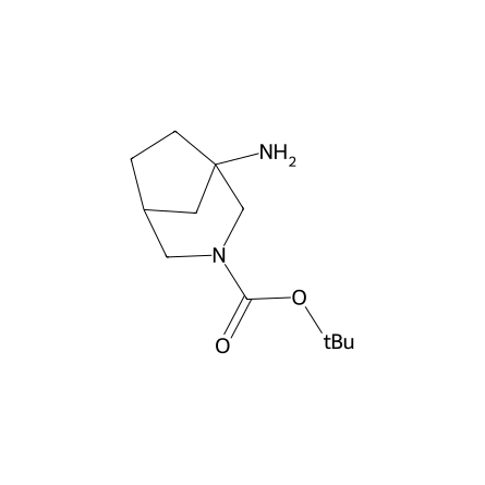 CC(C)(C)OC(=O)N1CC2CCC(N)(C2)C1